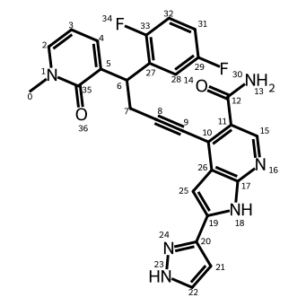 Cn1cccc(C(CC#Cc2c(C(N)=O)cnc3[nH]c(-c4cc[nH]n4)cc23)c2cc(F)ccc2F)c1=O